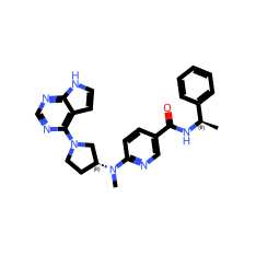 C[C@@H](NC(=O)c1ccc(N(C)[C@@H]2CCN(c3ncnc4[nH]ccc34)C2)nc1)c1ccccc1